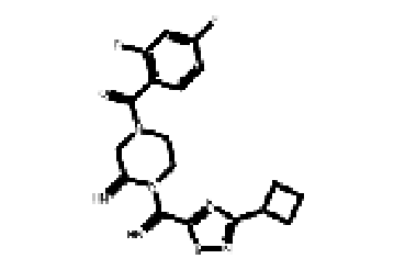 N=C1CN(C(=O)c2ccc(F)cc2F)CCN1C(=N)c1nc(C2CCC2)ns1